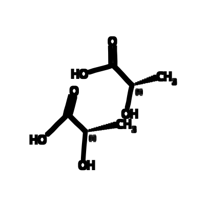 C[C@H](O)C(=O)O.C[C@H](O)C(=O)O